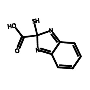 O=C(O)C1(S)N=c2ccccc2=N1